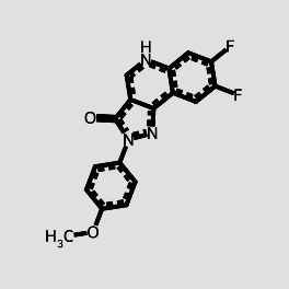 COc1ccc(-n2nc3c4cc(F)c(F)cc4[nH]cc-3c2=O)cc1